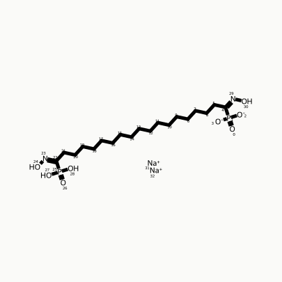 O=P([O-])([O-])C(CCCCCCCCCCCCCCCCCC(=NO)P(=O)(O)O)=NO.[Na+].[Na+]